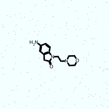 Nc1ccc2c(c1)CC(=O)N2CCN1CCOCC1